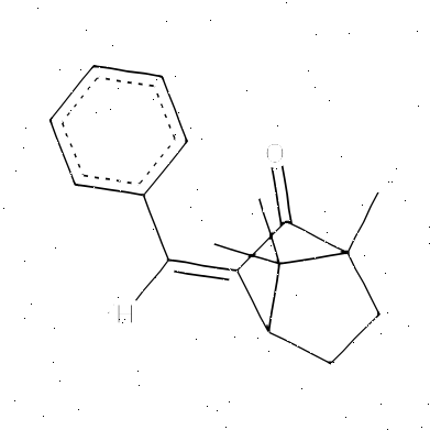 [2H]C(=C1C(=O)C2(C)CCC1C2(C)C)c1ccccc1